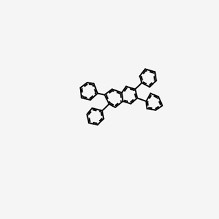 c1ccc(-c2cc3cc(-c4ccccc4)c(-c4ccccc4)cc3cc2-c2ccccc2)cc1